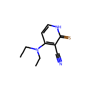 CCN(CC)c1cc[nH]c(=S)c1C#N